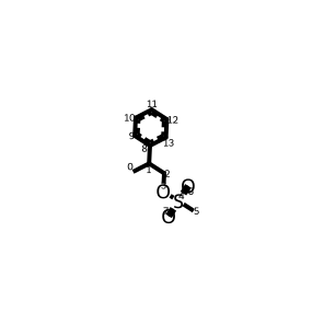 CC(COS(C)(=O)=O)c1ccccc1